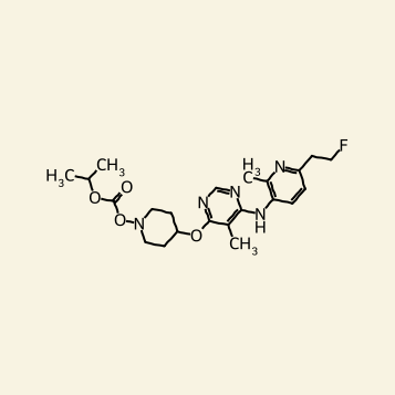 Cc1nc(CCF)ccc1Nc1ncnc(OC2CCN(OC(=O)OC(C)C)CC2)c1C